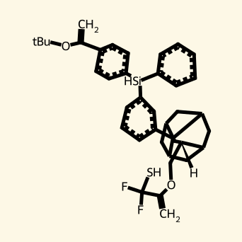 C=C(OC(C)(C)C)c1ccc([SiH](c2ccccc2)c2cccc(C3C4CC5CC3CC(C4)[C@H](COC(=C)C(F)(F)S)C5)c2)cc1